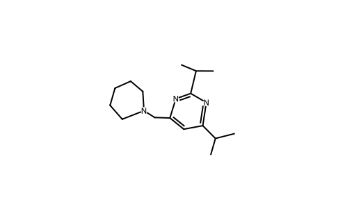 CC(C)c1cc(CN2CCCCC2)nc(C(C)C)n1